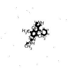 CCNc1nc2c(C)c(C(c3cc[nH]c3)N3CCCCC3)c(O)c(C)c2s1